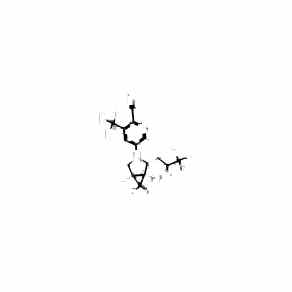 N#Cc1ncc(N2C[C@H]3[C@@H]([C@@H]2CC(O)C(F)(F)F)C3(F)F)cc1C(F)(F)F